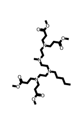 CCCCCN(CCN(C)CCN(CCC(=O)OC)CCC(=O)OC)CCN(CCC(=O)OC)CCC(=O)OC